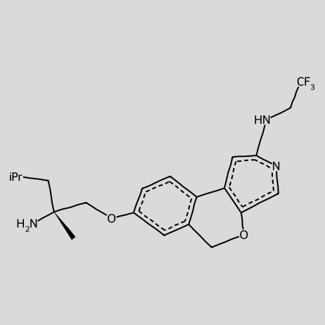 CC(C)C[C@@](C)(N)COc1ccc2c(c1)COc1cnc(NCC(F)(F)F)cc1-2